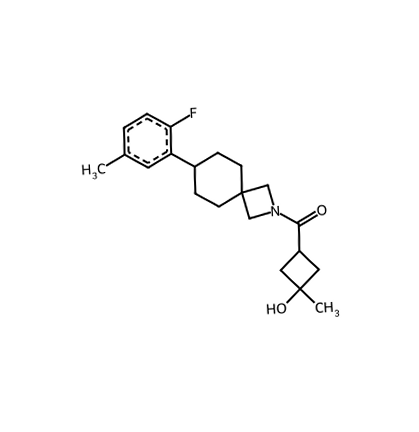 Cc1ccc(F)c(C2CCC3(CC2)CN(C(=O)C2CC(C)(O)C2)C3)c1